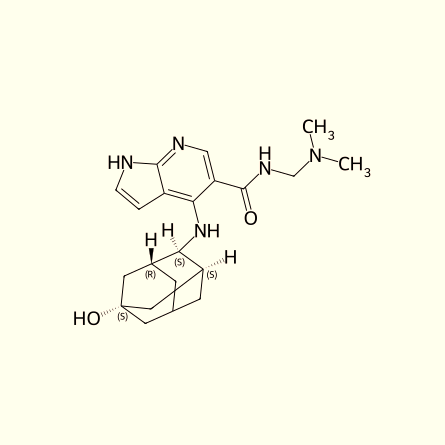 CN(C)CNC(=O)c1cnc2[nH]ccc2c1N[C@@H]1[C@@H]2CC3C[C@H]1C[C@@](O)(C3)C2